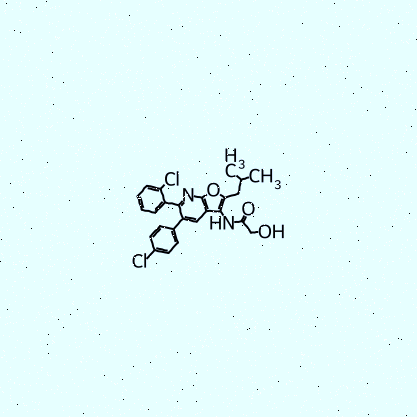 CC(C)Cc1oc2nc(-c3ccccc3Cl)c(-c3ccc(Cl)cc3)cc2c1NC(=O)CO